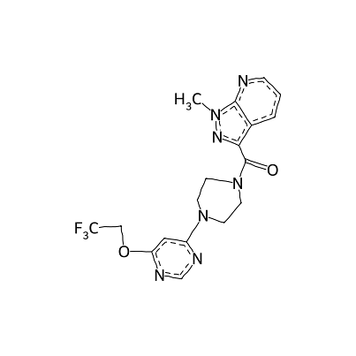 Cn1nc(C(=O)N2CCN(c3cc(OCC(F)(F)F)ncn3)CC2)c2cccnc21